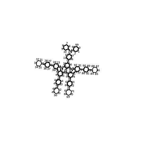 c1ccc(N(c2ccccc2)c2ccc(-c3cc4c5c(c3)-n3c6ccc(-c7ccc(C8CCCCC8)cc7)cc6c6cc(-c7ccc(C8CCCCC8)cc7)cc(c63)B5c3cc(-c5ccc(C6CCCCC6)cc5)cc5c6cc(-c7ccc(C8CCCCC8)cc7)ccc6n-4c35)cc2)cc1